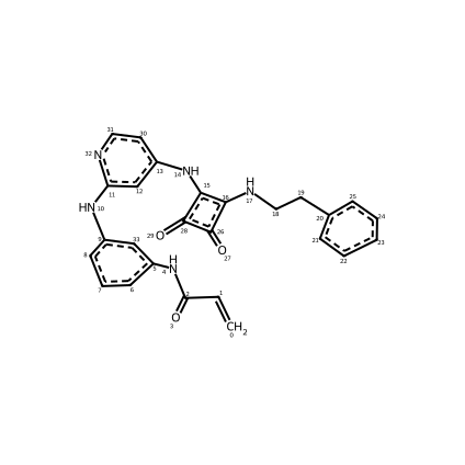 C=CC(=O)Nc1cccc(Nc2cc(Nc3c(NCCc4ccccc4)c(=O)c3=O)ccn2)c1